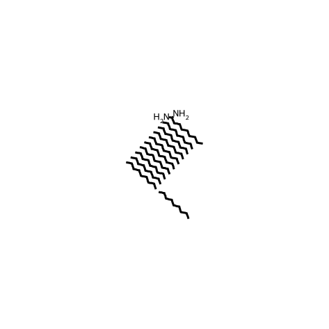 CCCCCCCCC.CCCCCCCCC.CCCCCCCCC.CCCCCCCCC.CCCCCCCCC.CCCCCCCCC.CCCCCCCCC.CCCCCCCCC.CCCCCCCCC.CCCCCCCCC.CCCCCCCCC(N)N